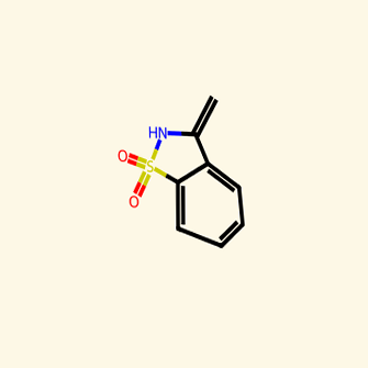 C=C1NS(=O)(=O)c2ccccc21